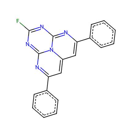 FC1=NC2=NC(c3ccccc3)=CC3=CC(c4ccccc4)=NC(=N1)N32